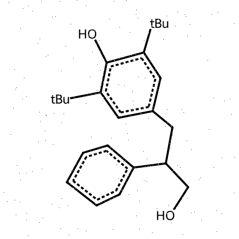 CC(C)(C)c1cc(CC(CO)c2ccccc2)cc(C(C)(C)C)c1O